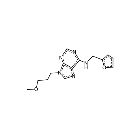 COCCCn1cnc2c(NCc3ccco3)ncnc21